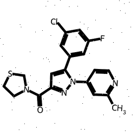 Cc1cc(-n2nc(C(=O)N3CCSC3)cc2-c2cc(F)cc(Cl)c2)ccn1